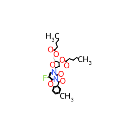 CCCCC(=O)OC[C@H]1O[C@@H](n2cc(F)c(=O)n(C(=O)c3cccc(C)c3)c2=O)C[C@@H]1OC(=O)CCCC